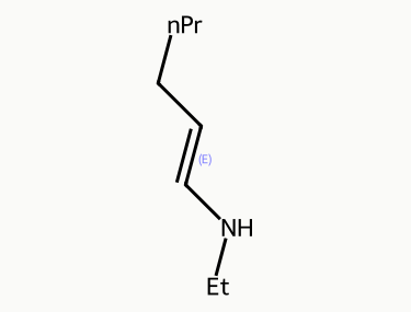 [CH2]CCC/C=C/NCC